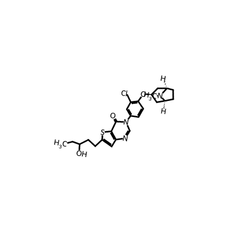 CCC(O)CCc1cc2ncn(-c3ccc(O[C@H]4C[C@H]5CC[C@@H](C4)N5C)c(Cl)c3)c(=O)c2s1